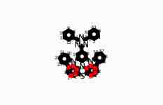 c1ccc(-c2nc(-c3ccccc3)nc(-c3cc(-n4c5ccccc5c5ccccc54)c(N4c5ccccc5Sc5ccccc54)c(-n4c5ccccc5c5ccccc54)c3)n2)cc1